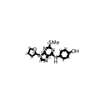 CSc1nc(Nc2ccc(O)cc2)c2ncn(C3CCCO3)c2n1